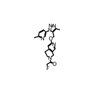 Cc1ccc(-n2nnc(C)c2COc2cc3c(cn2)CN(C(=O)CF)CC3)cn1